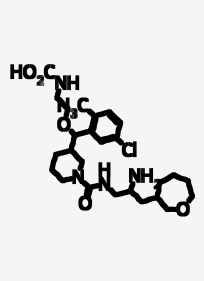 Cc1ccc(Cl)cc1C(OCCNC(=O)O)C1CCCN(C(=O)NCC(N)CC2CCCCOC2)C1